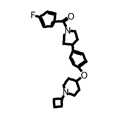 O=C(c1ccc(F)cc1)N1CCC(c2ccc(OC3CCN(C4CCC4)CC3)cc2)CC1